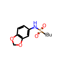 CCC(C)S(=O)(=O)Nc1ccc2c(c1)OCO2